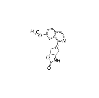 COc1ccc2ccnc(N3CC4NC(=O)OC4C3)c2c1